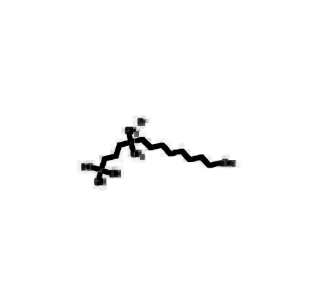 CCCCCCCCCCCCCCCCCC[N+](C)(C)CCC[Si](O)(O)O.[Br-]